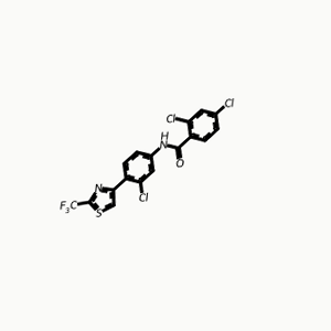 O=C(Nc1ccc(-c2csc(C(F)(F)F)n2)c(Cl)c1)c1ccc(Cl)cc1Cl